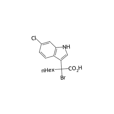 CCCCCCC(Br)(C(=O)O)c1c[nH]c2cc(Cl)ccc12